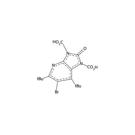 CC(C)(C)c1nc2c(c(C(C)(C)C)c1Br)n(C(=O)O)c(=O)n2C(=O)O